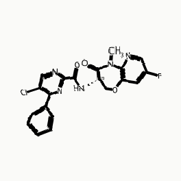 CN1C(=O)[C@@H](NC(=O)c2ncc(Cl)c(-c3ccccc3)n2)COc2cc(F)cnc21